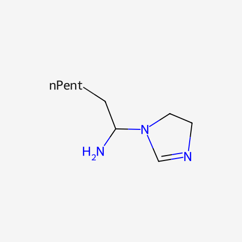 CCCCCCC(N)N1C=NCC1